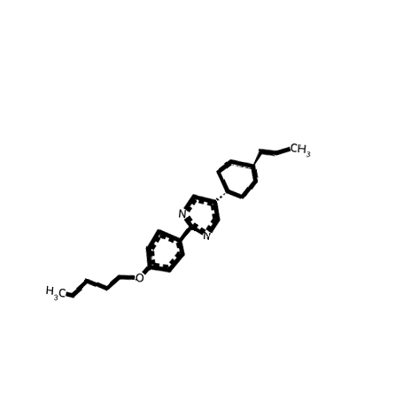 CCCCCOc1ccc(-c2ncc([C@H]3CC[C@H](CCC)CC3)cn2)cc1